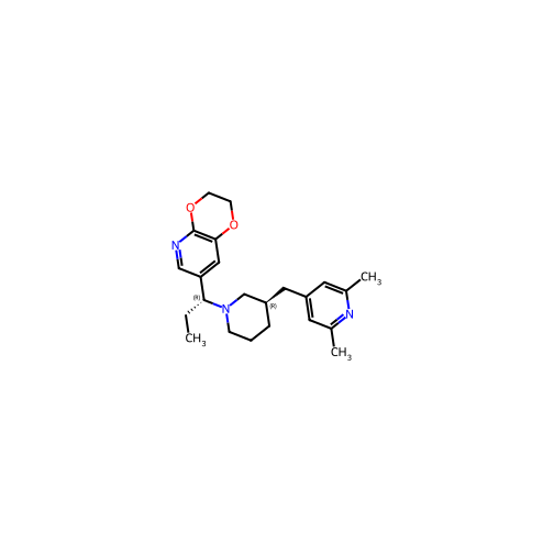 CC[C@H](c1cnc2c(c1)OCCO2)N1CCC[C@H](Cc2cc(C)nc(C)c2)C1